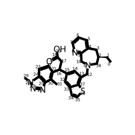 CC[C@@H]1Cc2cccnc2CN(Cc2cc(C(CC(=O)O)c3ccc4c(nnn4C)c3C)cc3ccsc23)C1